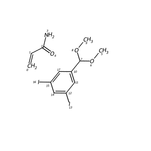 C=CC(N)=O.COC(OC)c1cc(I)cc(I)c1